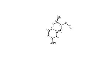 CCCC1COC(CN(CCC)C(=O)CCl)OC1